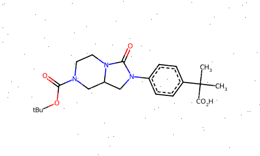 CC(C)(C)OC(=O)N1CCN2C(=O)N(c3ccc(C(C)(C)C(=O)O)cc3)CC2C1